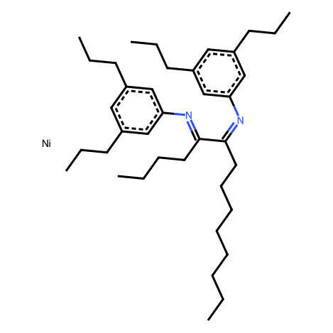 CCCCCCCCC(=Nc1cc(CCC)cc(CCC)c1)C(CCCC)=Nc1cc(CCC)cc(CCC)c1.[Ni]